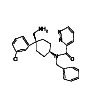 NC[C@]1(c2cccc(Cl)c2)CC[C@H](N(Cc2ccccc2)C(=O)c2cccnn2)CC1